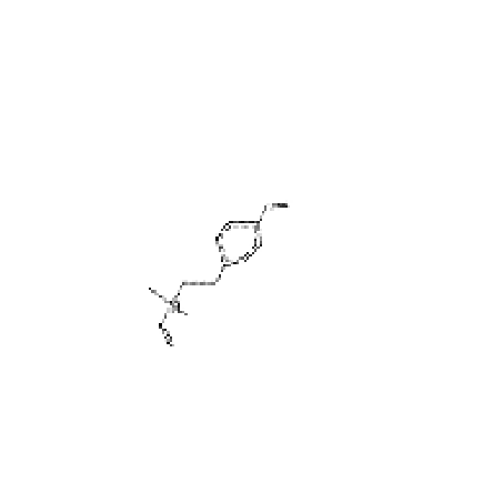 C=Cc1ccc(CC[Si](C)(C)C=C)cc1